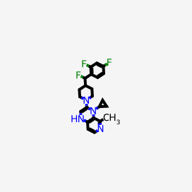 Cc1nccc2c1N(C1CC1)C(N1CCC(C(F)c3ccc(F)cc3F)CC1)=CN2